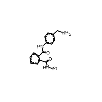 CC(C)NC(=O)c1ccccc1C(=O)Nc1ccc(CN)cc1